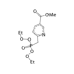 CCOOP(=O)(Cc1ccc(C(=O)OC)cn1)OOCC